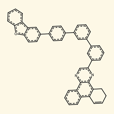 C1=Cc2c(c3nc(-c4cccc(-c5cccc(-c6ccc(-c7ccc8oc9ccccc9c8c7)cc6)c5)c4)cnc3c3ccccc23)CC1